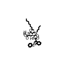 CCCCCCCCC[C@@H](CC(N)=O)N(CCCCC)C(=O)[C@H](CCCC(=O)O)NC(=O)c1cn(Cc2ccccc2)c2ccccc12